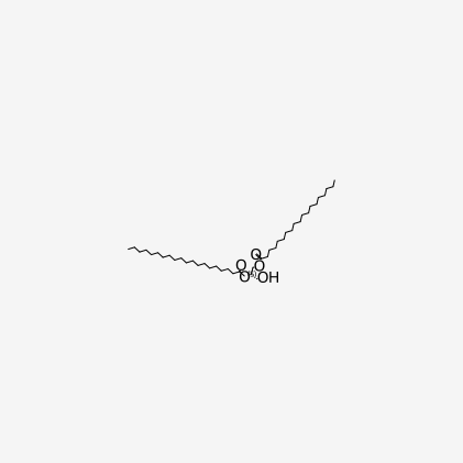 CCCCCCCCCCCCCCCCCCCC(=O)O[C@@H](CO)COC(=O)CCCCCCCCCCCCCCCCCC